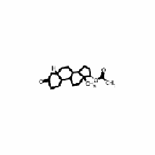 CC(=O)O[C@H]1CCC2C3CC[C@H]4CC(=O)CCC4C3CCC21C